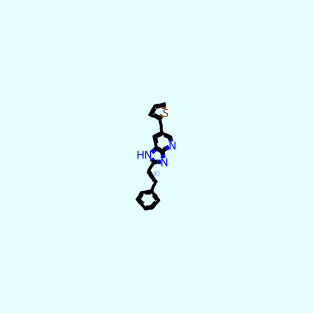 C(=C\c1nc2ncc(-c3cccs3)cc2[nH]1)/c1ccccc1